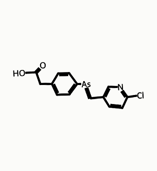 O=C(O)Cc1ccc(/[As]=C/c2ccc(Cl)nc2)cc1